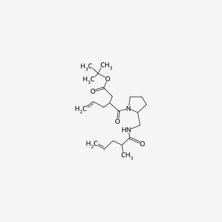 C=CCC(C)C(=O)NCC1CCCN1C(=O)C(CC=C)CC(=O)OC(C)(C)C